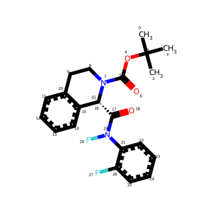 CC(C)(C)OC(=O)N1CCc2ccccc2[C@H]1C(=O)N(F)c1ccccc1F